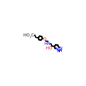 O=C(O)CCc1ccc(OCCNC[C@@H](O)c2ccc3nnnn3c2)cc1